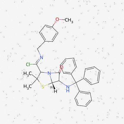 COc1ccc(CN=C(Cl)C2N3C(=O)C(NC(c4ccccc4)(c4ccccc4)c4ccccc4)[C@@H]3SC2(C)C)cc1